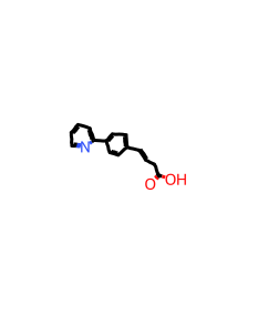 O=C(O)CC=Cc1ccc(-c2ccccn2)cc1